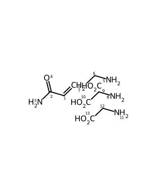 C=CC(N)=O.NCC(=O)O.NCC(=O)O.NCC(=O)O